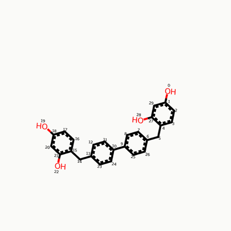 Oc1ccc(Cc2ccc(-c3ccc(Cc4ccc(O)cc4O)cc3)cc2)c(O)c1